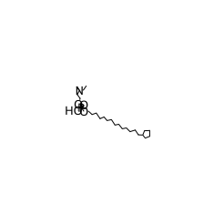 CCN(C)CCOP(=O)(O)OCCCCCCCCCCCCCCC1CCCC1